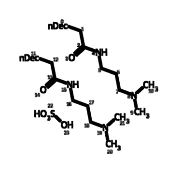 CCCCCCCCCCCC(=O)NCCCN(C)C.CCCCCCCCCCCC(=O)NCCCN(C)C.O=S(=O)(O)O